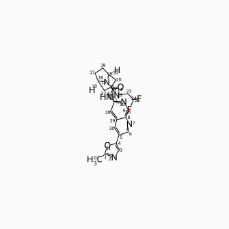 Cc1ncc(-c2cnc3cnc(NC(=O)N4[C@@H]5CC[C@H]4CC(NCC(F)F)C5)cc3c2)o1